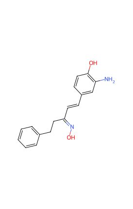 Nc1cc(C=CC(CCc2ccccc2)=NO)ccc1O